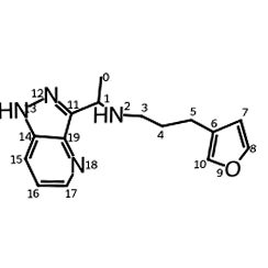 CC(NCCCc1ccoc1)c1n[nH]c2cccnc12